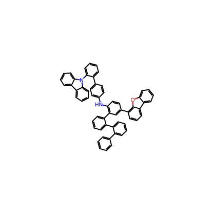 c1ccc(-c2ccccc2-c2ccccc2-c2cc(-c3cccc4c3oc3ccccc34)ccc2Nc2ccc(-c3ccccc3-n3c4ccccc4c4ccccc43)cc2)cc1